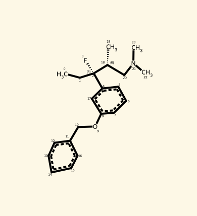 CC[C@](F)(c1cccc(OCc2ccccc2)c1)[C@H](C)CN(C)C